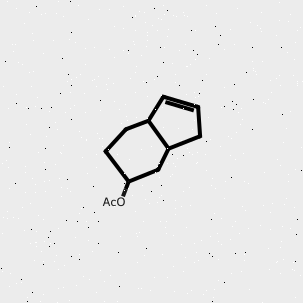 CC(=O)OC1CCC2C=CCC2C1